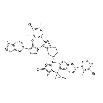 CCc1nccc(-c2ccc3c(c2)cc(C(=O)N2CCc4nn(-c5cc(C)c(Cl)c(C)c5)c(-n5ccn(-c6ccc7c(cnn7C)c6)c5=O)c4C2)n3[C@@]2(c3noc(=O)[nH]3)C[C@@H]2C)c1C